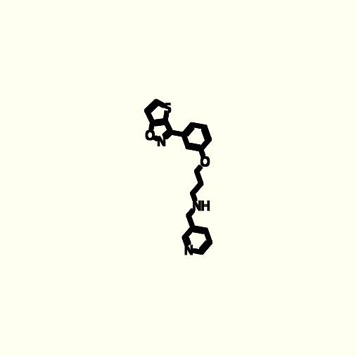 c1cncc(CNCCCOc2cccc(-c3noc4ccsc34)c2)c1